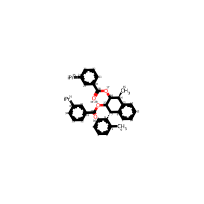 Cc1ccccc1[C@H]1c2ccccc2[C@H](C)C(OC(=O)c2cccc(C(C)C)c2)C1OC(=O)c1cccc(C(C)C)c1